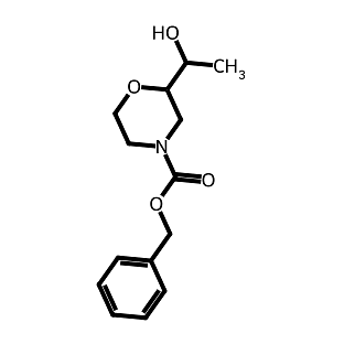 CC(O)C1CN(C(=O)OCc2ccccc2)CCO1